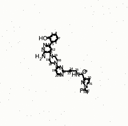 Nc1nnc(-c2ccccc2O)cc1N1CCN(c2ccnc(C#CCNC(=O)c3ccn(C(F)F)n3)n2)CC1